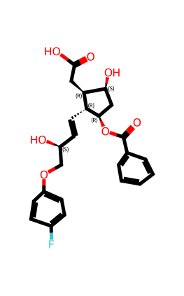 O=C(O)C[C@@H]1[C@@H](C=C[C@H](O)COc2ccc(F)cc2)[C@H](OC(=O)c2ccccc2)C[C@@H]1O